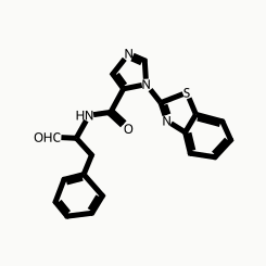 O=CC(Cc1ccccc1)NC(=O)c1cncn1-c1nc2ccccc2s1